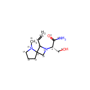 C=CC1N([C@@H](CO)C(N)=O)CC12CCCN2C